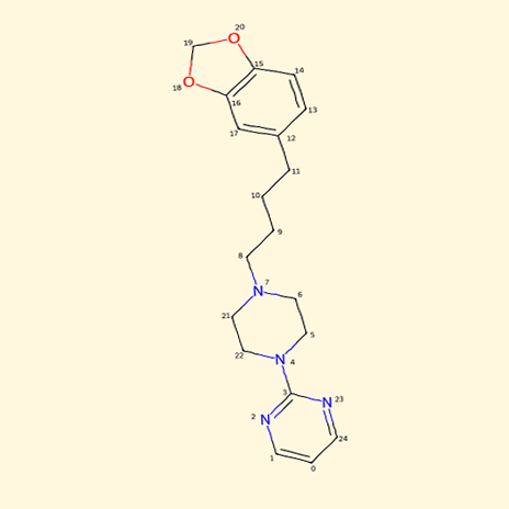 c1cnc(N2CCN(CCCCc3ccc4c(c3)OCO4)CC2)nc1